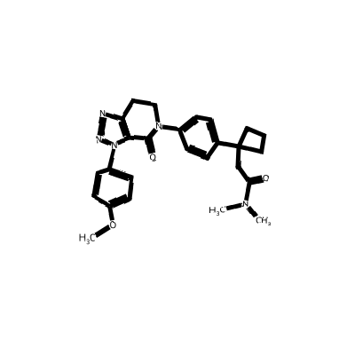 COc1ccc(-n2nnc3c2C(=O)N(c2ccc(C4(CC(=O)N(C)C)CCC4)cc2)CC3)cc1